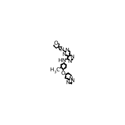 Cc1cc(Nc2ncnc3cnc(N4CC5(CCOC5)C4)nc23)ccc1Oc1ccn2ncnc2c1